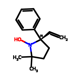 C=C[C@@]1(c2ccccc2)CCC(C)(C)N1O